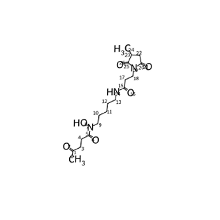 CC(=O)CCC(=O)N(O)CCCCCNC(=O)CCN1C(=O)CC(C)C1=O